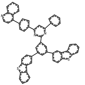 c1ccc(-c2cc(-c3ccc(-c4ccnc5ccccc45)cc3)nc(-c3cc(-c4ccc5sc6ccccc6c5c4)cc(-c4ccc5sc6ccccc6c5c4)c3)n2)cc1